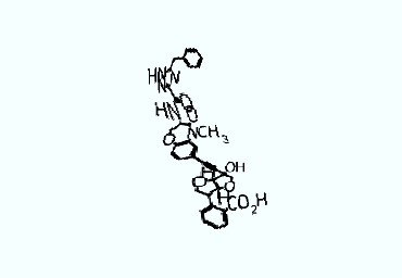 CN1C(=O)[C@@H](NC(=O)c2n[nH]c(Cc3ccccc3)n2)COc2ccc(C#C[C@@]3(O)CO[C@@H]4[C@@H](c5ccccc5C(=O)O)CO[C@@H]43)cc21